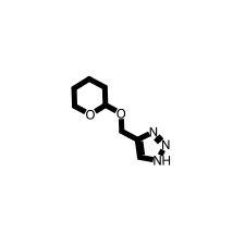 c1[nH]nnc1COC1CCCCO1